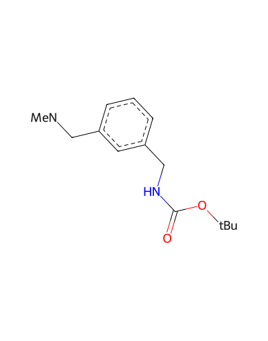 [CH2-][NH2+]Cc1cccc(CNC(=O)OC(C)(C)C)c1